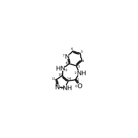 O=C1Nc2cccnc2Nc2cn[nH]c21